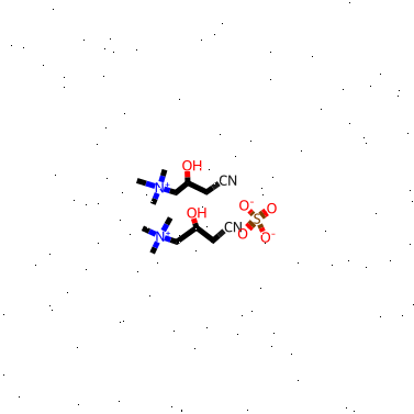 C[N+](C)(C)CC(O)CC#N.C[N+](C)(C)CC(O)CC#N.O=S(=O)([O-])[O-]